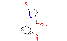 COc1cccc(Cn2c(C=O)ccc2CO)c1